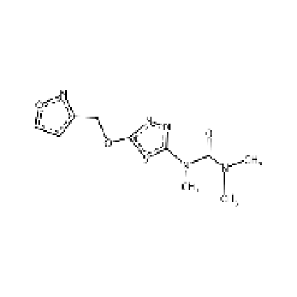 CN(C)C(=O)N(C)c1nnc(OCc2ccon2)s1